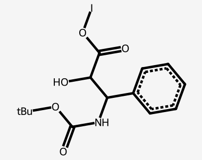 CC(C)(C)OC(=O)NC(c1ccccc1)C(O)C(=O)OI